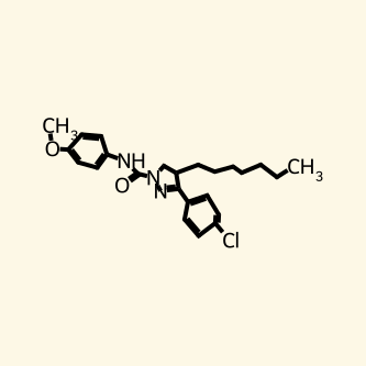 CCCCCCCC1CN(C(=O)Nc2ccc(OC)cc2)N=C1c1ccc(Cl)cc1